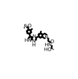 Cc1cc(-c2c[nH]c3c2N=C(c2cc(C)c4c(c2)CN(CCC(=O)NC[C@@H](C)O)CC4)CN3)ccc1C(=O)N(C)C